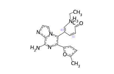 CCN(C)/C=C(\C=C/C=O)c1c(-c2ccc(C)o2)nc(N)c2nccn12